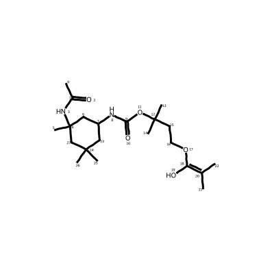 CC(=O)NC1(C)CC(NC(=O)OC(C)(C)CCOC(O)=C(C)C)CC(C)(C)C1